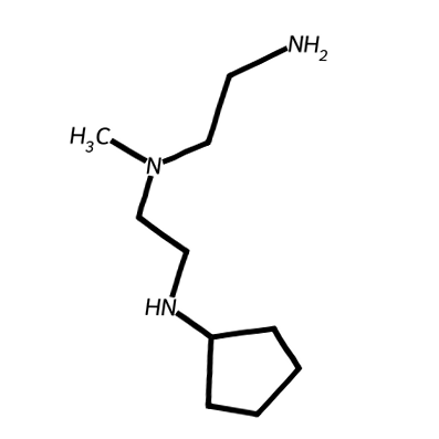 CN(CCN)CCNC1CCCC1